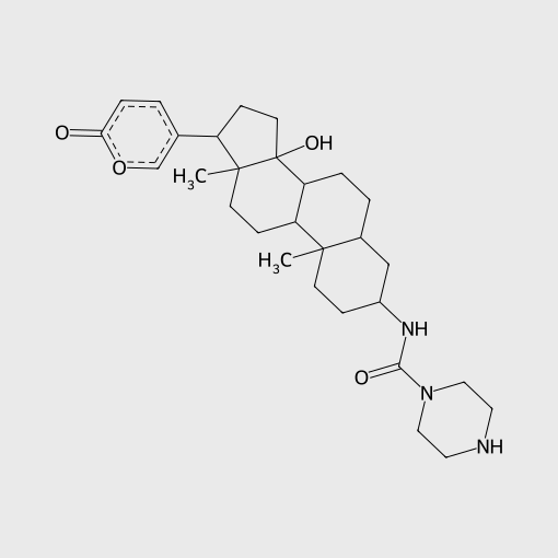 CC12CCC(NC(=O)N3CCNCC3)CC1CCC1C2CCC2(C)C(c3ccc(=O)oc3)CCC12O